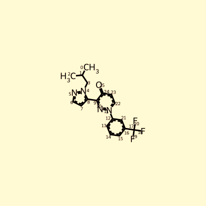 CC(C)Cn1nccc1-c1nn(-c2cccc(C(F)(F)F)c2)ccc1=O